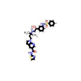 CC(C)(CCn1ccc2cc(C(=O)Nc3nccs3)cnc21)NC[C@H](O)c1cccc(NS(=O)(=O)c2ccccc2)c1